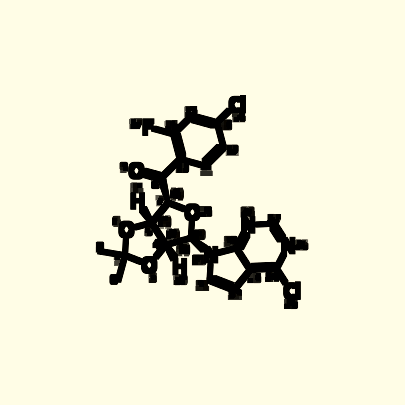 CC1(C)O[C@@H]2[C@H](O1)[C@@H](C(=O)c1ccc(Cl)cc1F)O[C@H]2n1ccc2c(Cl)ncnc21